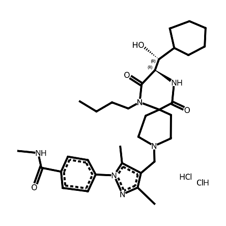 CCCCN1C(=O)[C@@H]([C@H](O)C2CCCCC2)NC(=O)C12CCN(Cc1c(C)nn(-c3ccc(C(=O)NC)cc3)c1C)CC2.Cl.Cl